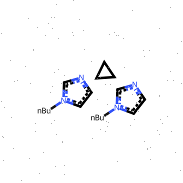 C1CC1.CCCCn1ccnc1.CCCCn1ccnc1